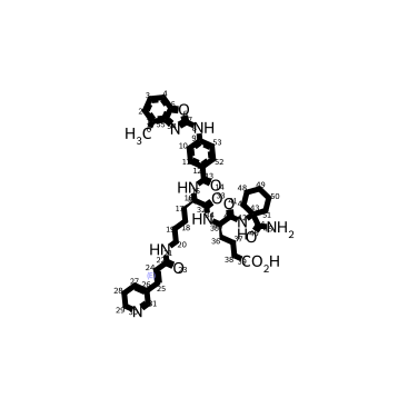 Cc1cccc2oc(Nc3ccc(C(=O)N[C@H](CCCCNC(=O)/C=C/C4=CCCN=C4)C(=O)N[C@H](CCCC(=O)O)C(=O)NC4(C(N)=O)CCCCC4)cc3)nc12